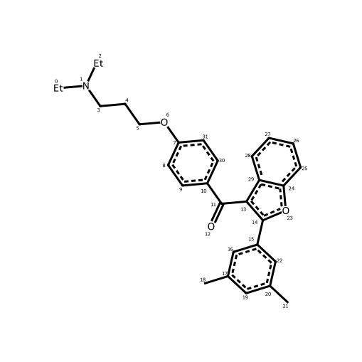 CCN(CC)CCCOc1ccc(C(=O)c2c(-c3cc(C)cc(C)c3)oc3ccccc23)cc1